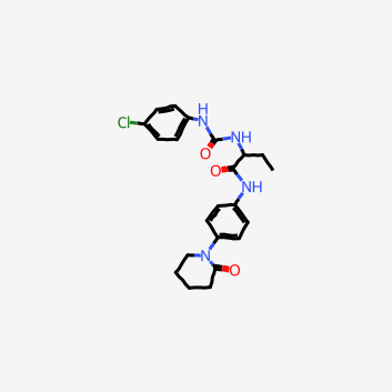 CCC(NC(=O)Nc1ccc(Cl)cc1)C(=O)Nc1ccc(N2CCCCC2=O)cc1